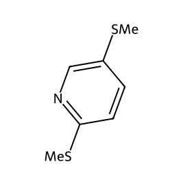 CSc1ccc(SC)nc1